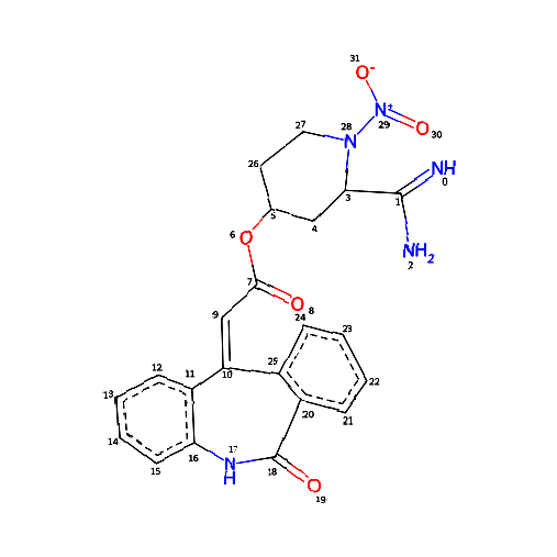 N=C(N)C1CC(OC(=O)C=C2c3ccccc3NC(=O)c3ccccc32)CCN1[N+](=O)[O-]